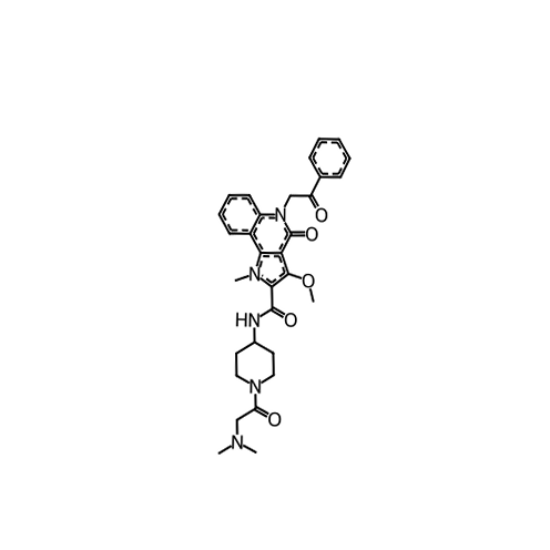 COc1c(C(=O)NC2CCN(C(=O)CN(C)C)CC2)n(C)c2c1c(=O)n(CC(=O)c1ccccc1)c1ccccc21